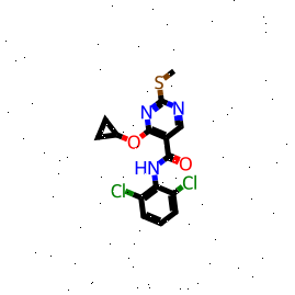 CSc1ncc(C(=O)Nc2c(Cl)cccc2Cl)c(OC2CC2)n1